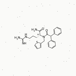 N=C(N)NCCC[C@H](C(N)=O)N(Cc1cccs1)C(=O)C(c1ccccc1)c1ccccc1